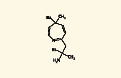 CCC(C)C1(C)C=CN=C(CC(C)(N)CC)C=C1